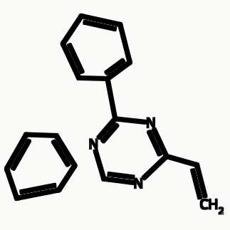 C=Cc1ncnc(-c2ccccc2)n1.c1ccccc1